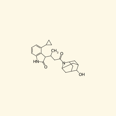 CC(CC(=O)N1C2CC3CC1CC(C2)C3O)C1C(=O)Nc2cccc(C3CC3)c21